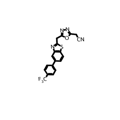 N#CCc1nnc(Cc2nc3cc(-c4ccc(C(F)(F)F)cc4)ccc3s2)o1